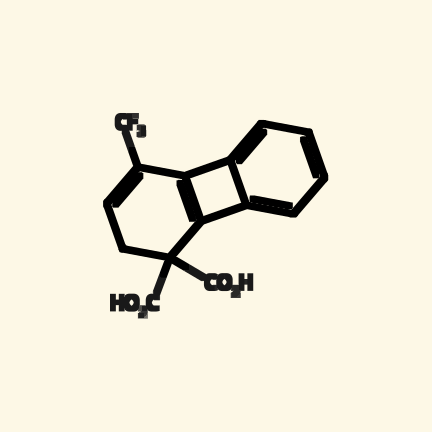 O=C(O)C1(C(=O)O)CC=C(C(F)(F)F)C2=C1c1ccccc12